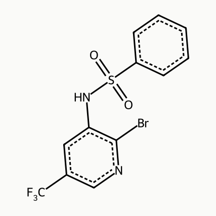 O=S(=O)(Nc1cc(C(F)(F)F)cnc1Br)c1ccccc1